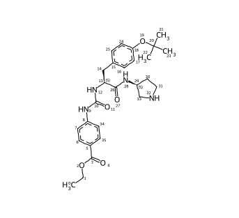 CCOC(=O)c1ccc(NC(=O)N[C@@H](Cc2ccc(OC(C)(C)C)cc2)C(=O)N[C@H]2CCNC2)cc1